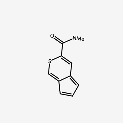 CNC(=O)c1cc2cccc-2cs1